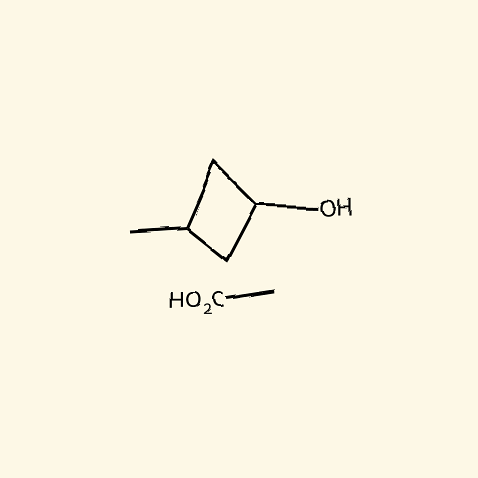 CC(=O)O.CC1CC(O)C1